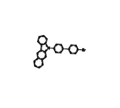 Brc1ccc(-c2ccc(-n3c4ccccc4c4cc5ccccc5cc43)cc2)cc1